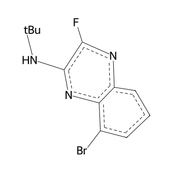 CC(C)(C)Nc1nc2c(Br)cccc2nc1F